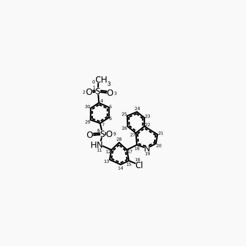 CS(=O)(=O)c1ccc(S(=O)(=O)Nc2ccc(Cl)c(-c3nccc4ccccc34)c2)cc1